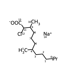 CC(C)CCCC(C)CCCC(C)C(Cl)C(=O)[O-].[Na+]